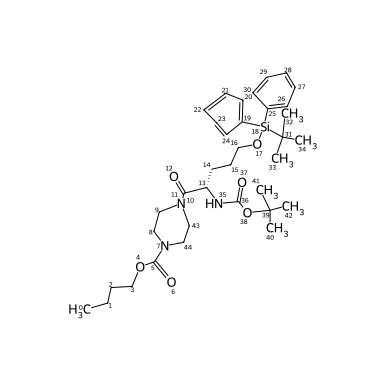 CCCCOC(=O)N1CCN(C(=O)[C@H](CCCO[Si](c2ccccc2)(c2ccccc2)C(C)(C)C)NC(=O)OC(C)(C)C)CC1